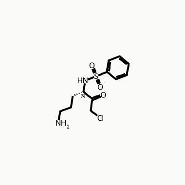 NCCC[C@H](NS(=O)(=O)c1ccccc1)C(=O)CCl